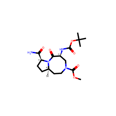 COC(=O)N1CC[C@H]2CC[C@@H](C(N)=O)N2C(=O)[C@@H](NC(=O)OC(C)(C)C)C1